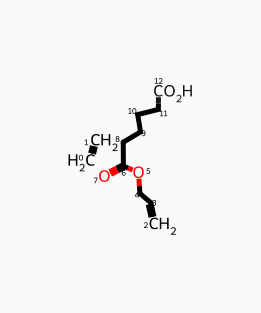 C=C.C=CCOC(=O)CCCCC(=O)O